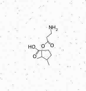 CC1CC[C@](OC(=O)CCN)(C(=O)O)C1C